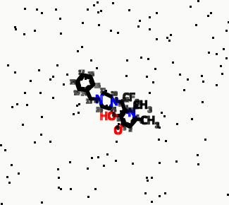 Cc1cc(=O)c(O)c(C(N2CCN(Cc3ccccc3)CC2)C(F)(F)F)n1C